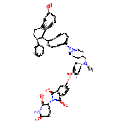 CC(C)N(CC1CCN(c2ccc(C3c4ccc(O)cc4CCC3c3ccccc3)cc2)CC1)[C@H]1C[C@H](Oc2ccc3c(c2)C(=O)N(C2CCC(=O)NC2=O)C3=O)C1